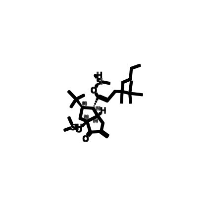 C=C1C[C@H]2[C@@H](C(=CCC(C)(CCCC)C(C)(C)C)O[SiH](C)C)[C@H](C(C)(C)C)C[C@@]2(O[SiH](C)C)C1=O